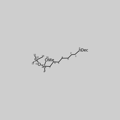 CCCCCCCCCCCCCCCCC[Si](C)(OC)O[Si](C)(C)C